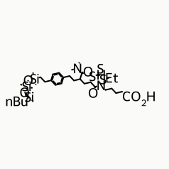 CCCC[Si](C)(C)O[Si](C)(C)O[Si](C)(C)CCc1ccc(CCC(CC(SC(=S)SCC)C(=O)NCCCCC(=O)O)C(=O)N(C)C)cc1